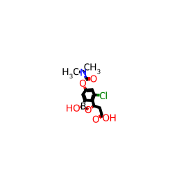 CN(C)C(=O)Oc1cc(Cl)c2c(c1)B(O)OC2CC(=O)O